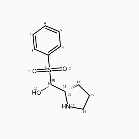 O=S(=O)(c1ccccc1)[C@@H](O)[C@@H]1CCCN1